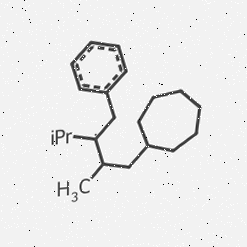 CC(C)[C](Cc1ccccc1)C(C)CC1CCCCCC1